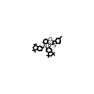 Cc1ccc2sc3c(c2c1)Oc1cccc2c1B3c1cc3c(cc1N2c1ccc2c(c1)C(C)(C)CC2(C)C)C(C)(C)CC3(C)C